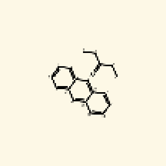 CCC(=O)CC.c1ccc2cc3ccccc3cc2c1